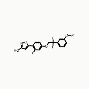 CC(C)Oc1cccc(C(F)(F)COc2ccc(-c3cc(O)no3)c(F)c2)c1